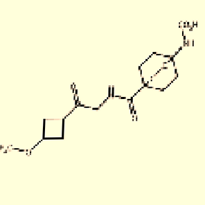 O=C(O)NC12CCC(C(=O)NCC(=O)C3CC(OC(F)(F)F)C3)(CC1)CC2